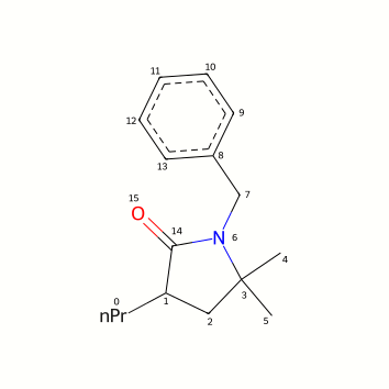 CCCC1CC(C)(C)N(Cc2ccccc2)C1=O